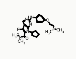 CN(C)CCOc1ccc(Nc2ncc3c(F)c(C(=O)N(C)C)n(C4CCCC4)c3n2)cc1